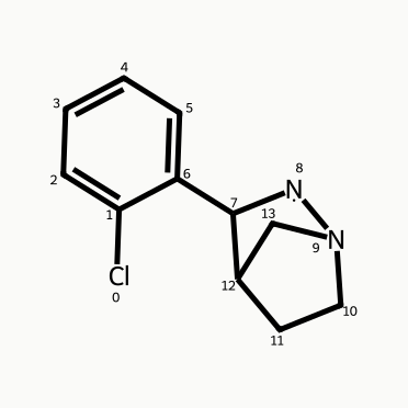 Clc1ccccc1C1[N]N2CCC1C2